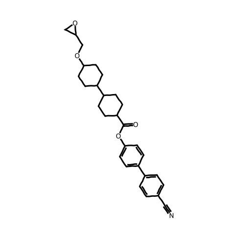 N#Cc1ccc(-c2ccc(OC(=O)C3CCC(C4CCC(OCC5CO5)CC4)CC3)cc2)cc1